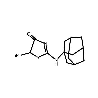 CCCC1SC(NC23CC4CC(CC(C4)C2)C3)=NC1=O